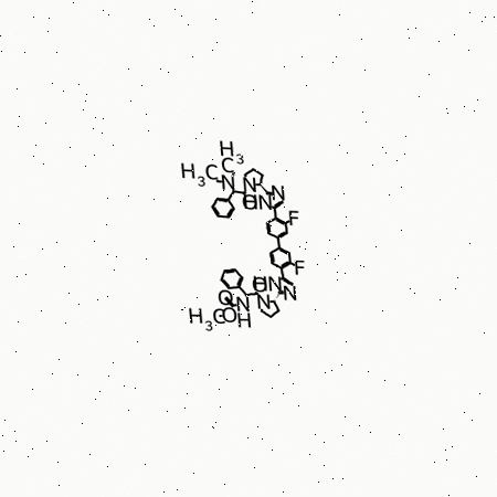 CCN(CC)[C@@H](C(=O)N1CCC[C@H]1c1ncc(-c2ccc(-c3ccc(-c4cnc([C@@H]5CCCN5C(=O)[C@H](NC(=O)OC)c5ccccc5)[nH]4)c(F)c3)cc2F)[nH]1)c1ccccc1